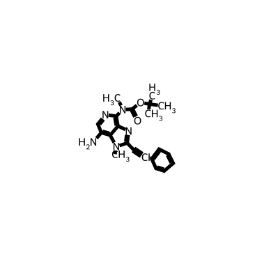 C#Cc1nc2c(N(C)C(=O)OC(C)(C)C)ncc(N)c2n1C.c1ccccc1